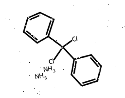 ClC(Cl)(c1ccccc1)c1ccccc1.N.N